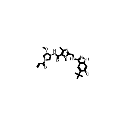 C=CC(=O)N1C[C@H](NC(=O)c2c(C)nc(CNc3n[nH]c4cc(Cl)c(C(C)(C)C)cc34)n2C)[C@@H](OC)C1